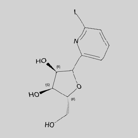 OC[C@H]1OC(c2cccc(I)n2)[C@H](O)[C@@H]1O